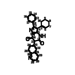 O=C1Nc2c(C3=CCCCC3)c(-c3ccccc3)nn2C(=O)C1c1ccc2ncccc2c1